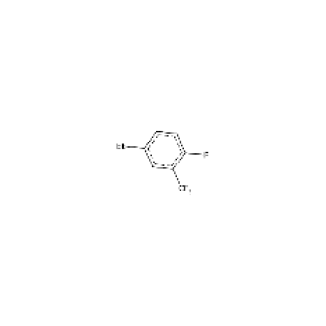 [CH2]Cc1ccc(F)c(C(F)(F)F)c1